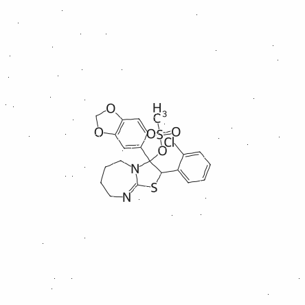 CS(=O)(=O)OC1(c2ccc3c(c2)OCO3)C(c2ccccc2Cl)SC2=NCCCCN21